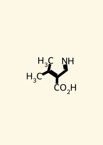 CC(C)=C(C=N)C(=O)O